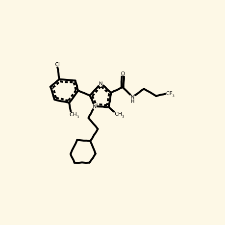 Cc1ccc(Cl)cc1-c1nc(C(=O)NCCC(F)(F)F)c(C)n1CCC1CCCCC1